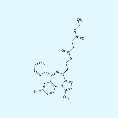 CCOC(=O)CCC(=O)OCC[C@@H]1N=C(c2ccccn2)c2cc(Br)ccc2-n2c(C)cnc21